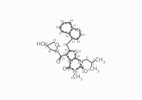 CC(C)Cn1c(=O)n(C)c(=O)c2c(C(=O)N3C[C@@H](O)CO3)c(Cc3ccnc4ccccc34)sc21